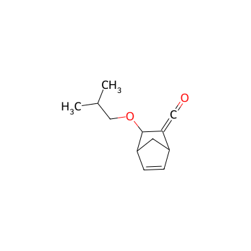 CC(C)COC1C(=C=O)C2C=CC1C2